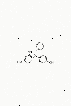 Oc1ccc(-c2c(-c3ccccc3)[nH]c3cc(O)ccc23)cc1